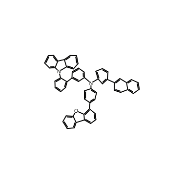 c1cc(-c2ccc3ccccc3c2)cc(N(c2ccc(-c3cccc4c3oc3ccccc34)cc2)c2cccc(-c3ccccc3-n3c4ccccc4c4ccccc43)c2)c1